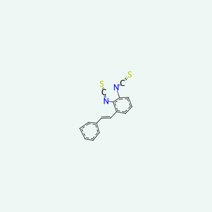 S=C=Nc1cccc(C=Cc2ccccc2)c1N=C=S